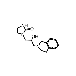 O=C1NCCN1C[C@H](O)CN1CCc2ccccc2C1